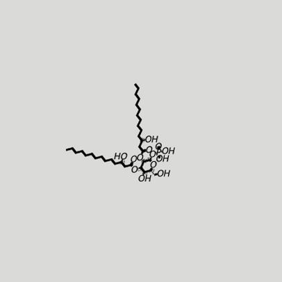 CCCCCCCCCCC[C@@H](O)CC(=O)O[C@H]1[C@@H](OP(=O)(O)O)O[C@H](CO)[C@@H](O)[C@@H]1OC(=O)C[C@H](O)CCCCCCCCCCC